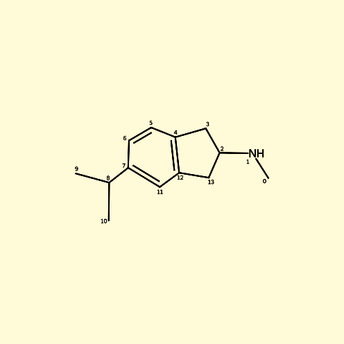 CNC1Cc2ccc(C(C)C)cc2C1